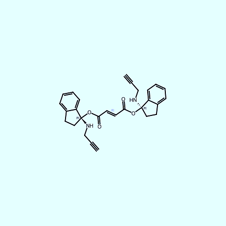 C#CCN[C@@]1(OC(=O)/C=C/C(=O)O[C@]2(NCC#C)CCc3ccccc32)CCc2ccccc21